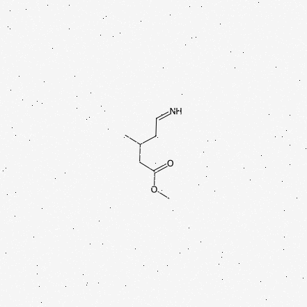 COC(=O)CC(C)CC=N